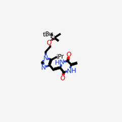 C=c1[nH]c(=O)c(=Cc2ncn(CCO[Si](C)(C)C(C)(C)C)c2C(C)C)[nH]c1=O